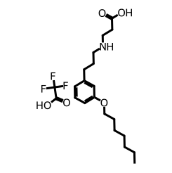 CCCCCCCOc1cccc(CCCNCCC(=O)O)c1.O=C(O)C(F)(F)F